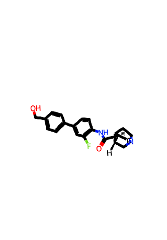 O=C(Nc1ccc(-c2ccc(CO)cc2)cc1F)[C@H]1CN2CCC1CC2